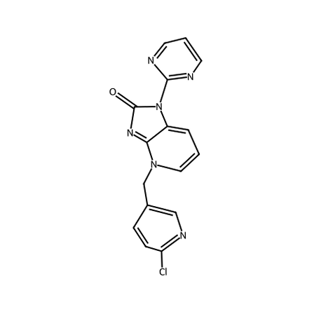 O=c1nc2n(Cc3ccc(Cl)nc3)cccc-2n1-c1ncccn1